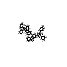 c1ccc(-c2nc(-c3ccccc3)nc(-c3ccc4c(c3)oc3cccc(-c5ccc6c(c5)sc5c(-n7c8ccccc8c8ccccc87)cccc56)c34)n2)cc1